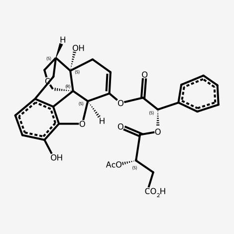 CC(=O)O[C@@H](CC(=O)O)C(=O)O[C@H](C(=O)OC1=CC[C@]2(O)[C@H]3CCC[C@]24c2c(ccc(O)c2O[C@H]14)C3)c1ccccc1